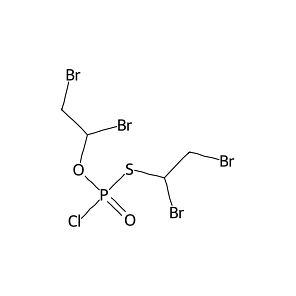 O=P(Cl)(OC(Br)CBr)SC(Br)CBr